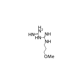 COCCCNC(=N)NC(=N)N